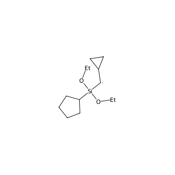 CCO[Si]([CH]C1CC1)(OCC)C1CCCC1